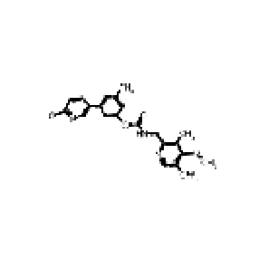 COc1c(C)cnc(CNC(=O)Oc2cc(C)cc(-c3ccc(Cl)nc3)c2)c1C